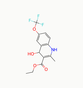 CCOC(=O)C1=C(C)Nc2ccc(OC(F)(F)F)cc2C1O